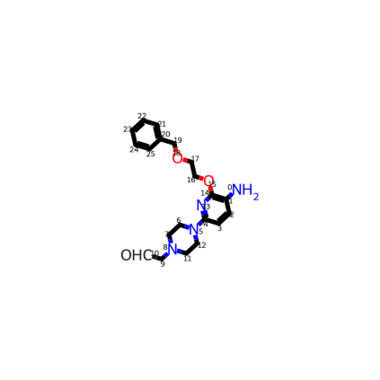 Nc1ccc(N2CCN(CC=O)CC2)nc1OCCOCc1ccccc1